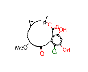 COC1CCC2CC2C[C@@H](C)OC(=O)c2c(O)cc(O)c(Cl)c2CC(=O)C1